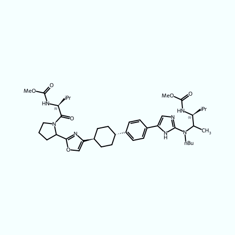 CCCCN(c1ncc(-c2ccc([C@H]3CC[C@H](c4coc(C5CCCN5C(=O)[C@@H](NC(=O)OC)C(C)C)n4)CC3)cc2)[nH]1)C(C)[C@@H](NC(=O)OC)C(C)C